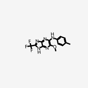 COc1nc2[nH]c(C(F)(F)F)nc2nc1Nc1ccc(C)cc1